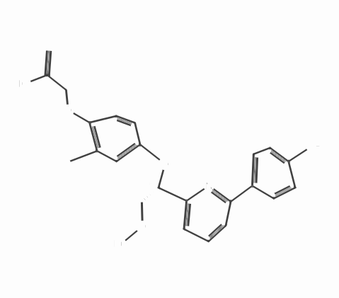 C=C(O)COc1ccc(O[C@@H](COCC)c2cccc(-c3ccc(C(F)(F)F)cc3)n2)cc1C